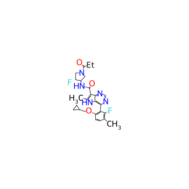 CCC(=O)N1C[C@@H](F)[C@H](NC(=O)c2c(C)[nH]c3c(-c4c(OCC5CC5)ccc(C)c4F)ncnc23)C1